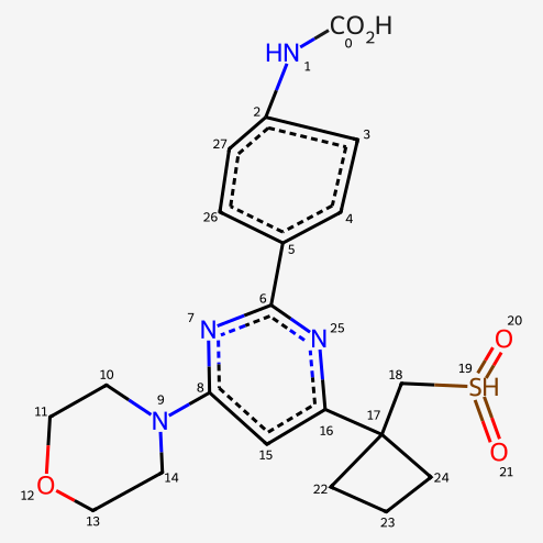 O=C(O)Nc1ccc(-c2nc(N3CCOCC3)cc(C3(C[SH](=O)=O)CCC3)n2)cc1